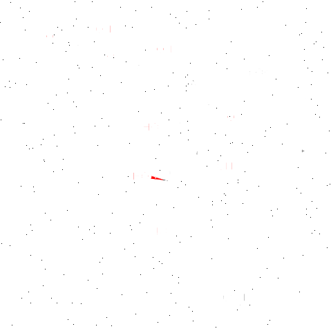 CC(=O)[C@H](O)[C@@H](O)[C@H](O)[C@H](O)CO.CCCCCCCC(=O)O.CCCCCCCC(=O)O.CCCCCCCC/C=C\CCCCCCCC(=O)O